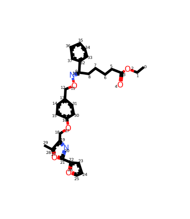 CCOC(=O)CCCC/C(=N\OCc1ccc(OCc2nc(-c3ccco3)oc2C)cc1)c1ccccc1